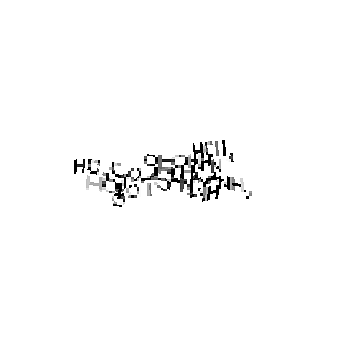 CC1=NC(N)=C2NCN(c3oc(CO[C@@H](C(=O)O)P(=O)(O)O)c(O)c3O)[C@H]2N1